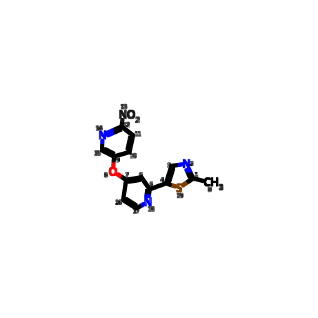 Cc1ncc(-c2cc(Oc3ccc([N+](=O)[O-])nc3)ccn2)s1